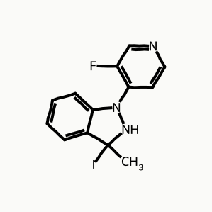 CC1(I)NN(c2ccncc2F)c2ccccc21